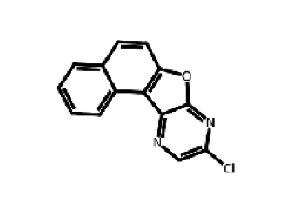 Clc1cnc2c(n1)oc1ccc3ccccc3c12